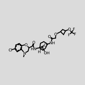 CN1CC(C(=O)NC23CCC(NC(=O)COC4CC(OC(F)(F)F)C4)(CC2)C[C@@H]3O)Oc2ccc(Cl)cc21